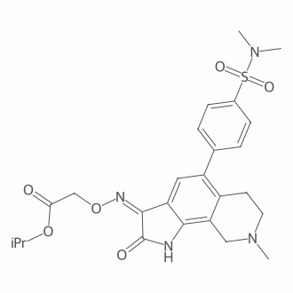 CC(C)OC(=O)CON=C1C(=O)Nc2c1cc(-c1ccc(S(=O)(=O)N(C)C)cc1)c1c2CN(C)CC1